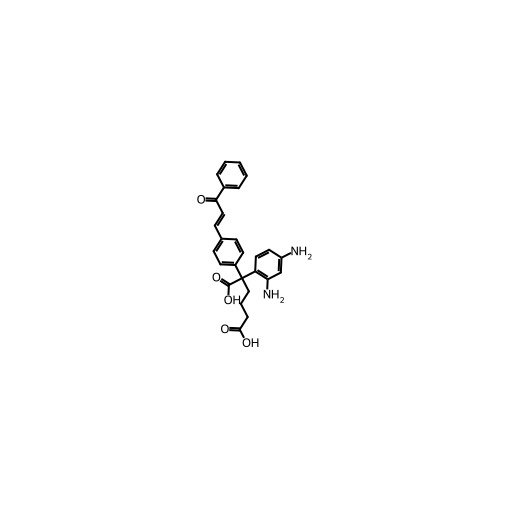 Nc1ccc(C(CCCC(=O)O)(C(=O)O)c2ccc(C=CC(=O)c3ccccc3)cc2)c(N)c1